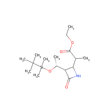 CCOC(=O)C(C)C1NC(=O)C1[C@@H](C)O[Si](C)(C)C(C)(C)C